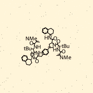 CN[C@@H](C)C(=O)NC(C(=O)N[C@@H](Cc1ccc([C@H]2CC(C(=O)N[C@@H]3CCCc4ccccc43)N(C(=O)[C@@H](NC(=O)[C@H](C)NC)C(C)(C)C)C2)cc1)C(=O)NC1CCCc2ccccc21)C(C)(C)C